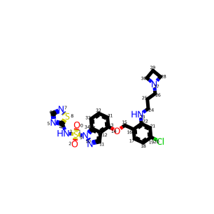 O=S(=O)(Nc1ncns1)n1ncc2c(OCc3ccc(Cl)cc3NCCCN3CCC3)cccc21